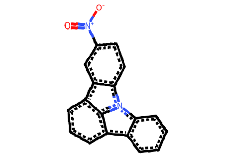 O=[N+]([O-])c1ccc2c(c1)c1cccc3c4ccccc4n2c31